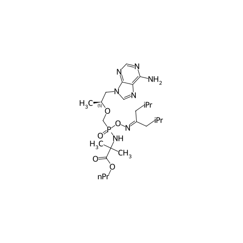 CCCOC(=O)C(C)(C)NP(=O)(CO[C@@H](C)Cn1cnc2c(N)ncnc21)ON=C(CC(C)C)CC(C)C